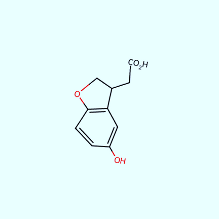 O=C(O)CC1COc2ccc(O)cc21